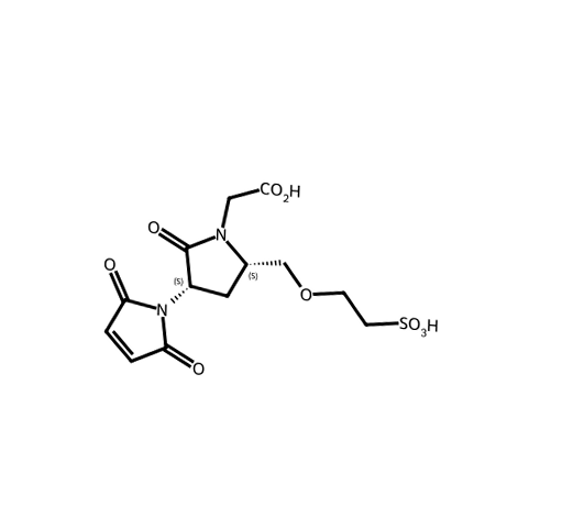 O=C(O)CN1C(=O)[C@@H](N2C(=O)C=CC2=O)C[C@H]1COCCS(=O)(=O)O